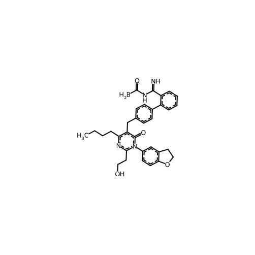 BC(=O)NC(=N)c1ccccc1-c1ccc(Cc2c(CCCC)nc(CCO)n(-c3ccc4c(c3)CCO4)c2=O)cc1